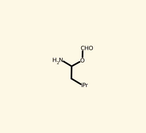 CC(C)CC(N)OC=O